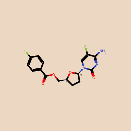 Nc1nc(=O)n([C@H]2CC[C@@H](COC(=O)c3ccc(F)cc3)O2)cc1F